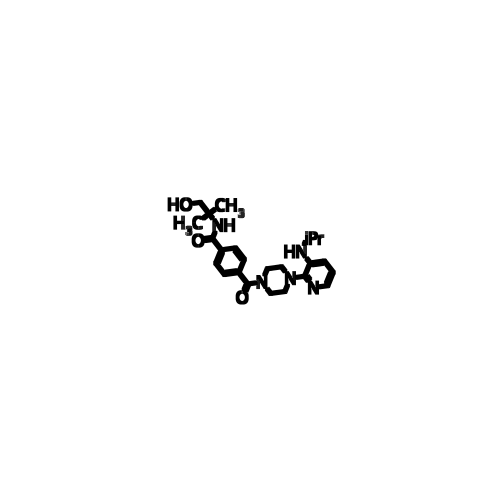 CC(C)Nc1cccnc1N1CCN(C(=O)c2ccc(C(=O)NC(C)(C)CO)cc2)CC1